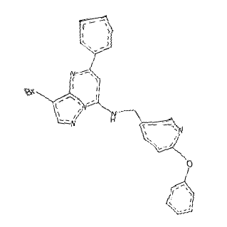 Brc1cnn2c(NCc3ccc(Oc4ccccc4)nc3)cc(-c3ccccc3)nc12